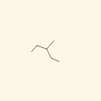 CCC(C)C[O-].[Li+]